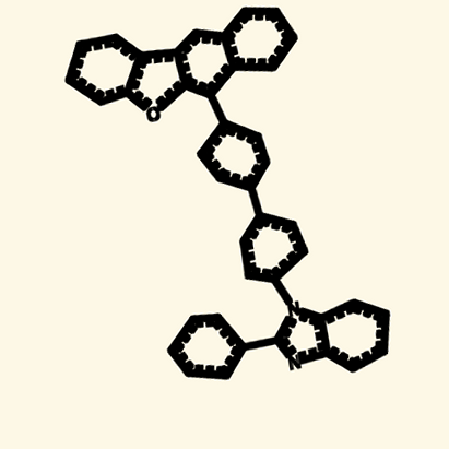 c1ccc(-c2nc3ccccc3n2-c2ccc(-c3ccc(-c4c5ccccc5cc5c4oc4ccccc45)cc3)cc2)cc1